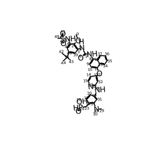 COc1c(NC(=O)Nc2ccc(Oc3ccnc(Nc4ccc(C[PH](=O)O)c(N(C)C)c4)c3)c3ccccc23)cc(C(C)(C)C)cc1NS(C)(=O)=O